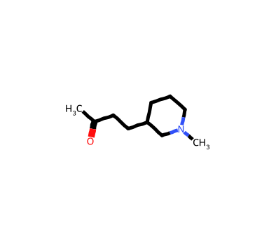 CC(=O)CCC1CCCN(C)C1